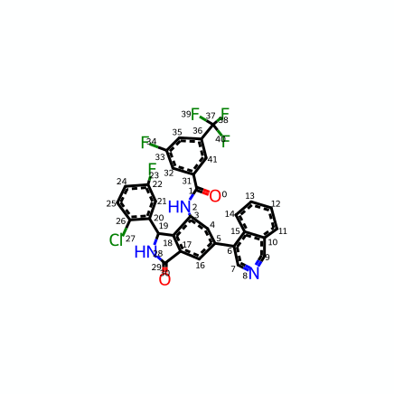 O=C(Nc1cc(-c2cncc3ccccc23)cc2c1C(c1cc(F)ccc1Cl)NC2=O)c1cc(F)cc(C(F)(F)F)c1